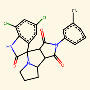 N#Cc1cccc(N2C(=O)C3C4CCCN4C4(C(=O)Nc5c(Cl)cc(Cl)cc54)C3C2=O)c1